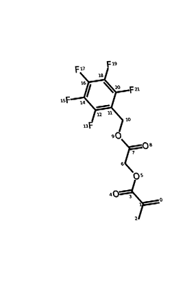 C=C(C)C(=O)OCC(=O)OCc1c(F)c(F)c(F)c(F)c1F